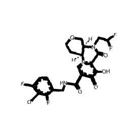 O=C(NCc1ccc(F)c(Cl)c1F)c1cn2c(c(O)c1=O)C(=O)N(CC(F)F)[C@@H]1COCC[C@@H]12